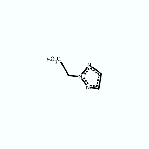 O=C(O)Cn1n[c]cn1